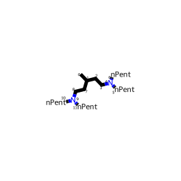 [CH2]C(CCN(CCCCC)CCCCC)CCN(CCCCC)CCCCC